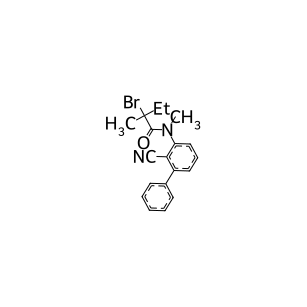 CCC(C)(Br)C(=O)N(C)c1cccc(-c2ccccc2)c1C#N